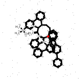 C=C1C2C(CCc3ccc4c(oc5cc(-c6ccccc6)ccc54)c3-c3n(-c4c(-c5ccccc5)cccc4-c4ccccc4)c4ccccc4[n+]31)c1ccccc1-c1ccc([Si](C)(C)C)c[n+]12